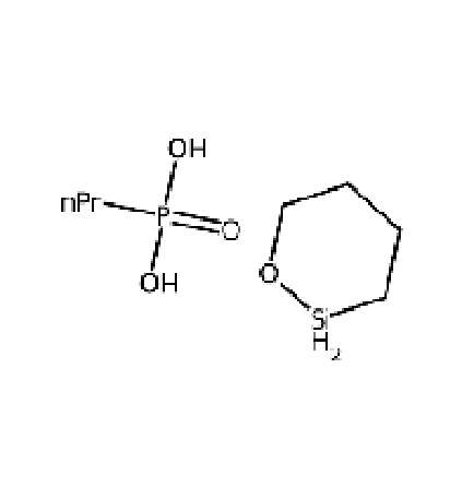 C1CC[SiH2]OC1.CCCP(=O)(O)O